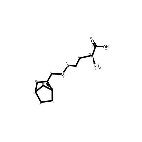 N[C@@H](CCSOCC1=C2CCC(C2)C1)C(=O)O